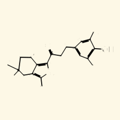 Cc1cc(CCC(=O)c2sc(C)c3c2CCC(C)(C)C3)cc(C)c1O